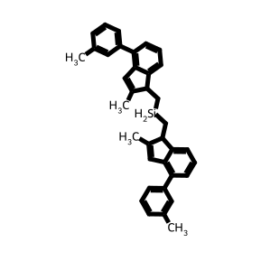 CC1=Cc2c(-c3cccc(C)c3)cccc2C1C[SiH2]CC1C(C)=Cc2c(-c3cccc(C)c3)cccc21